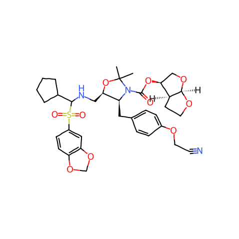 CC1(C)O[C@H](CNC(C2CCCC2)S(=O)(=O)c2ccc3c(c2)OCO3)[C@H](Cc2ccc(OCC#N)cc2)N1C(=O)O[C@H]1CO[C@H]2OCC[C@H]21